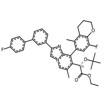 CCOC(=O)[C@@H](OC(C)(C)C)c1c(C)cn2cc(-c3cccc(-c4ccc(F)cc4)c3)nc2c1-c1cc(F)c2c(c1C)CCCO2